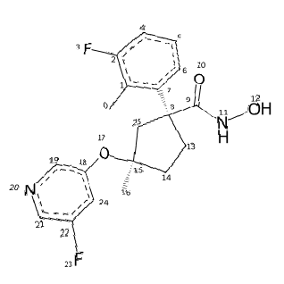 Cc1c(F)cccc1[C@]1(C(=O)NO)CC[C@@](C)(Oc2cncc(F)c2)C1